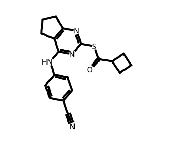 N#Cc1ccc(Nc2nc(SC(=O)C3CCC3)nc3c2CCC3)cc1